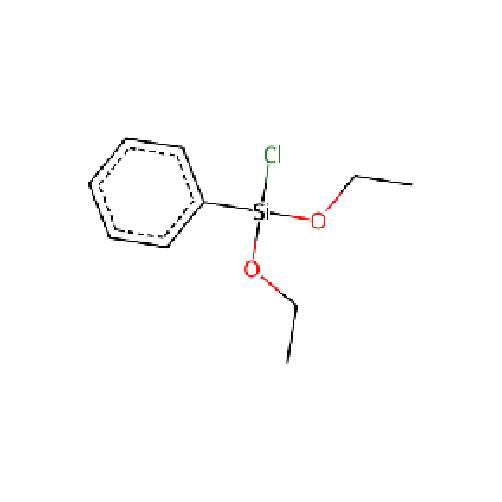 CCO[Si](Cl)(OCC)c1ccccc1